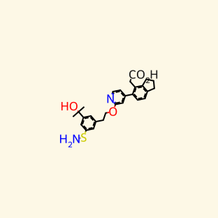 CC(C)(O)c1cc(CCOc2cc(-c3ccc4c(c3CC(=O)O)CCC4)ccn2)cc(SN)c1